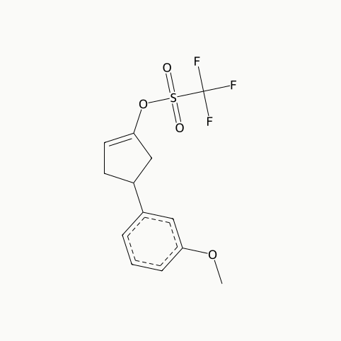 COc1cccc(C2CC=C(OS(=O)(=O)C(F)(F)F)C2)c1